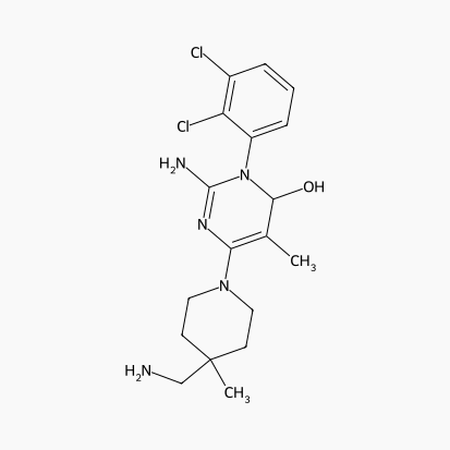 CC1=C(N2CCC(C)(CN)CC2)N=C(N)N(c2cccc(Cl)c2Cl)C1O